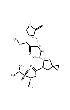 CN(C)S(=O)(=O)N(C)CC(=O)N1CC2(CC2)C[C@H]1C(=O)N[C@@H](C[C@@H]1CCNC1=O)C(=O)COC(F)(F)F